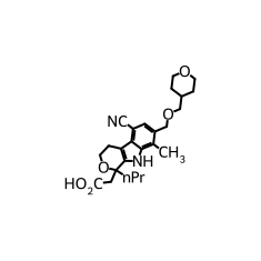 CCCC1(CC(=O)O)OCCc2c1[nH]c1c(C)c(COCC3CCOCC3)cc(C#N)c21